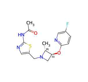 CC(=O)Nc1ncc(CN2C[C@H](Oc3ccc(F)cn3)[C@H]2C)s1